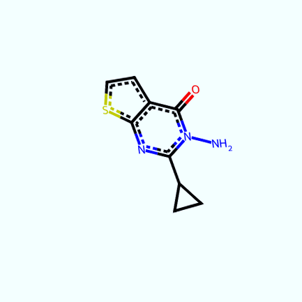 Nn1c(C2CC2)nc2sccc2c1=O